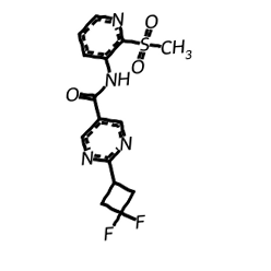 CS(=O)(=O)c1ncccc1NC(=O)c1cnc(C2CC(F)(F)C2)nc1